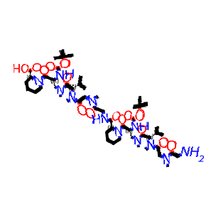 CC(C)[C@@H](C(=O)N(C)C[C@@H](NC(=O)OC(C)(C)C)C(=O)N1CCCC[C@H]1C(=O)O)N(C)C(=O)CN(C)C(=O)CNC(=O)[C@@H]1CCCCN1C(=O)[C@@H](CN(C)C(=O)[C@H](C(C)C)N(C)C(=O)CN(C)C(=O)CN)NC(=O)OC(C)(C)C